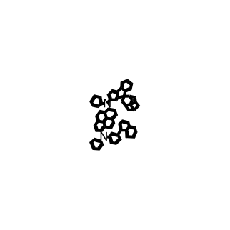 c1ccc(N(c2cccc(-c3cccc4ccccc34)c2)c2ccc3ccc4c(N(c5ccccc5)c5ccc6c(c5)C5(c7ccccc7-6)C6CC7CC8CC5CC78C6)ccc5ccc2c3c54)cc1